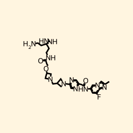 Cc1cn2cc(NC(=O)c3cnc(N4CC(CN5CC(OCC(=O)NCCC6(CCN)NN6)C5)C4)cn3)cc(F)c2n1